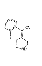 N#CC(=C1CCNCC1)c1ccccc1I